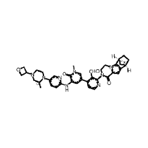 C[C@H]1CN(C2COC2)CCN1c1ccc(Nc2cc(-c3ccnc(N4CCn5c(cc6c5[C@H]5CC[C@@H]6C5)C4=O)c3C=O)cn(C)c2=O)nc1